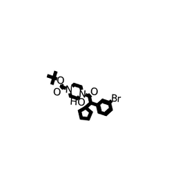 CC(C)(C)OC(=O)N1CCN(C(=O)C(c2cccc(Br)c2)C2(O)CCCC2)CC1